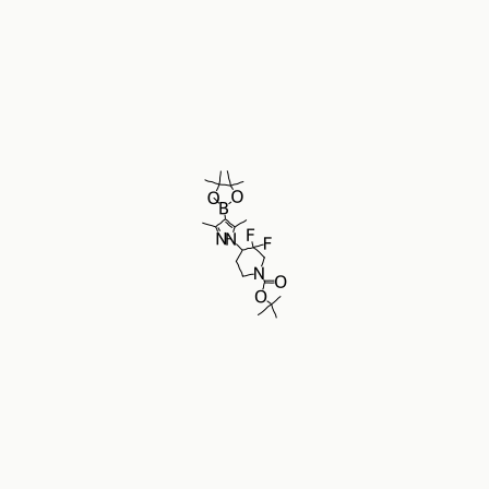 Cc1nn(C2CCN(C(=O)OC(C)(C)C)CC2(F)F)c(C)c1B1OC(C)(C)C(C)(C)O1